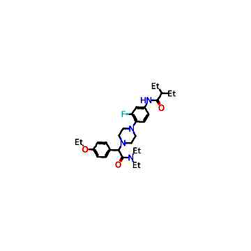 CCOc1ccc(C(C(=O)N(CC)CC)N2CCN(c3ccc(NC(=O)C(CC)CC)cc3F)CC2)cc1